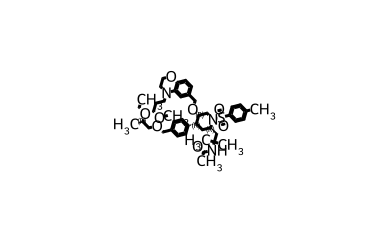 CCO[C@H](C)COCc1ccc([C@H]2C[C@H](CC(C)(C)NC(C)=O)N(S(=O)(=O)c3ccc(C)cc3)C[C@@H]2OCc2ccc3c(c2)N(CCCOC)CCO3)cc1